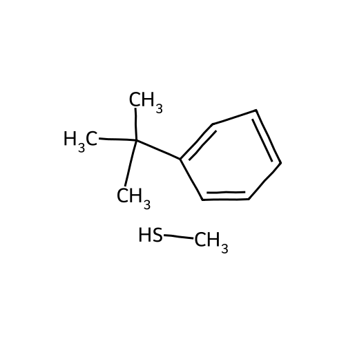 CC(C)(C)c1ccccc1.CS